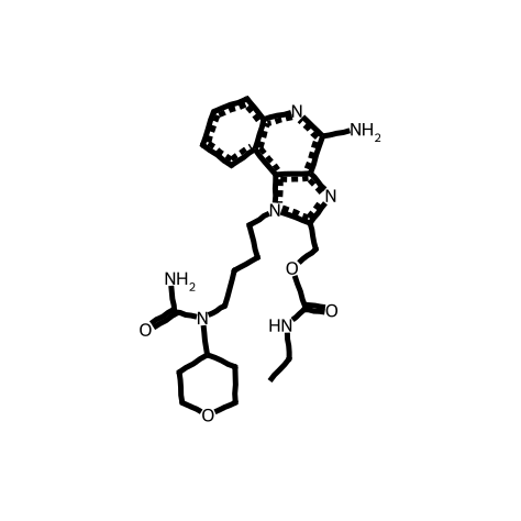 CCNC(=O)OCc1nc2c(N)nc3ccccc3c2n1CCCCN(C(N)=O)C1CCOCC1